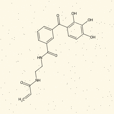 C=CC(=O)NCCNC(=O)c1cccc(C(=O)c2ccc(O)c(O)c2O)c1